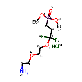 CCOP(=O)(CCC(F)(F)OCCOCCN)OCC.Cl